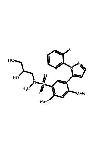 COc1cc(OC)c(S(=O)(=O)N(C)CC(O)CO)cc1-c1ccnn1-c1ccccc1Cl